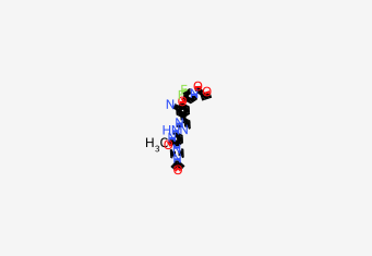 COc1nc(Nc2nccc(-c3ccc(OC4CCN(C(=O)C5CCO5)CC4(F)F)c(C#N)c3)n2)ccc1N1CCN(C2COC2)CC1